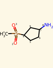 CS(=O)(=O)C1CCC(N)C1